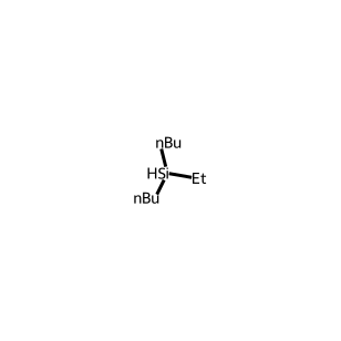 CCCC[SiH](CC)CCCC